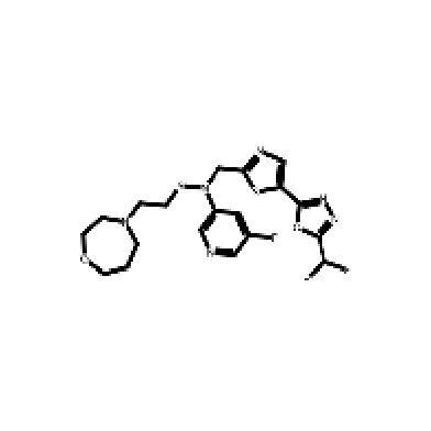 Fc1cncc(N(Cc2ncc(-c3nnc(C(F)F)o3)s2)SCCN2CCCOCC2)c1